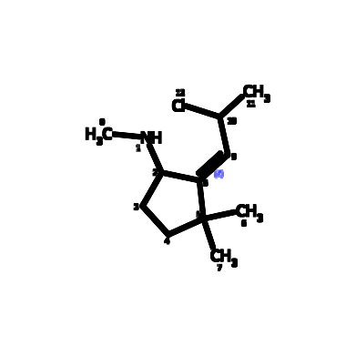 CNC1CCC(C)(C)/C1=C/C(C)Cl